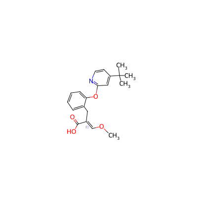 CO/C=C(\Cc1ccccc1Oc1cc(C(C)(C)C)ccn1)C(=O)O